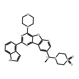 C[C@@H](c1cnc2oc3c(N4CCOCC4)nc(-c4cccc5[nH]ccc45)nc3c2c1)N1CCS(=O)(=O)CC1